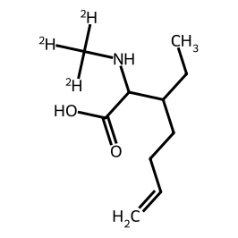 [2H]C([2H])([2H])NC(C(=O)O)C(CC)CCC=C